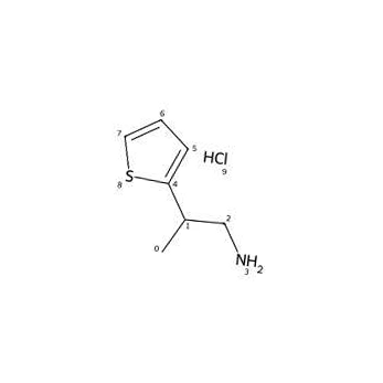 CC(CN)c1cccs1.Cl